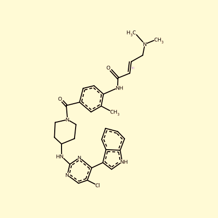 Cc1cc(C(=O)N2CCC(Nc3ncc(Cl)c(-c4c[nH]c5ccccc45)n3)CC2)ccc1NC(=O)/C=C/CN(C)C